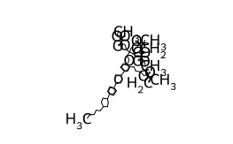 C=C(C)C(=O)OCCCc1cc(-c2ccc(-c3ccc(C4CCC(CCCCC)CC4)cc3)cc2)ccc1OCC(COC(=O)C(=C)C)(COC(=O)C(=O)OC)COC(=O)C(=O)OC